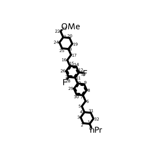 CCCC1CCC(CCc2ccc(-c3c(F)cc(CCC4CCC(COC)CC4)cc3F)cc2)CC1